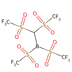 O=S(=O)(B(C(S(=O)(=O)C(F)(F)F)S(=O)(=O)C(F)(F)F)S(=O)(=O)C(F)(F)F)C(F)(F)F